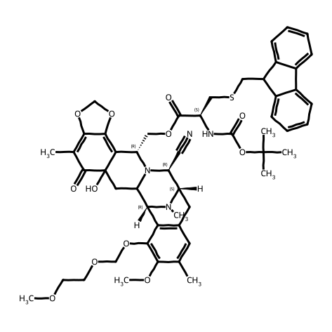 COCCOCOc1c(OC)c(C)cc2c1[C@@H]1C3CC4(O)C(=O)C(C)=C5OCOC5=C4[C@H](COC(=O)[C@@H](CSCC4c5ccccc5-c5ccccc54)NC(=O)OC(C)(C)C)N3[C@@H](C#N)[C@H](C2)N1C